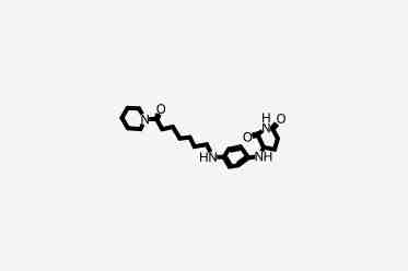 O=C1CCC(Nc2ccc(NCCCCCCC(=O)N3CCCCC3)cc2)C(=O)N1